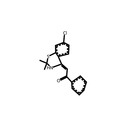 CC1(C)N/C(=C\C(=O)c2ccccc2)c2ccc(Cl)cc2S1